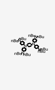 CCCCN(CCCC)c1ccc(N(c2ccc(N(CCCC)CCCC)cc2)C2C=CC(=[N+](c3ccc(N(CCCC)CCCC)cc3)c3ccc(N(CCCC)CCCC)cc3)C=C2)cc1